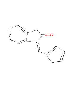 O=C1Cc2ccccc2/C1=C/C1=CC=CC1